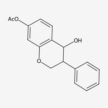 CC(=O)Oc1ccc2c(c1)OCC(c1ccccc1)C2O